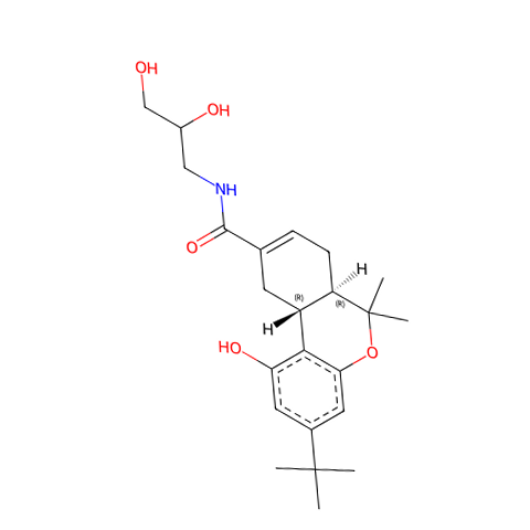 CC(C)(C)c1cc(O)c2c(c1)OC(C)(C)[C@@H]1CC=C(C(=O)NCC(O)CO)C[C@@H]21